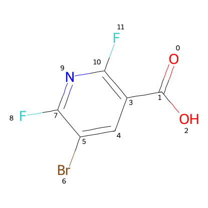 O=C(O)c1cc(Br)c(F)nc1F